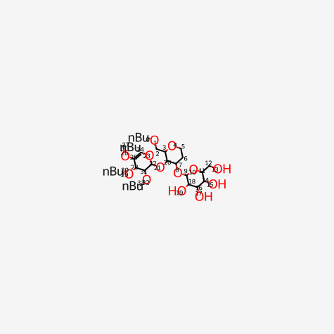 CCCCOCC1OCCC(OC2OC(CO)C(O)C(O)C2O)C1OC1OC=C(OCCCC)C(OCCCC)C1OCCCC